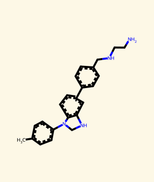 Cc1ccc(N2CNc3cc(-c4ccc(CNCCN)cc4)ccc32)cc1